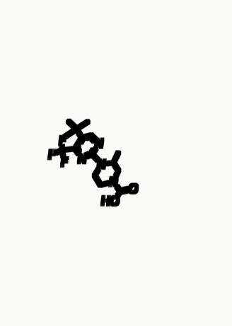 CC1CN(C(=O)O)CCN1c1ncc(C(C)(C)C)c(C(F)(F)F)n1